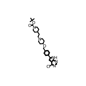 CC(C)(C)OC(=O)N1CCC(CCN2CCC(OCc3ccc(-c4cc5c(Cl)ncnc5[nH]4)cc3)CC2)CC1